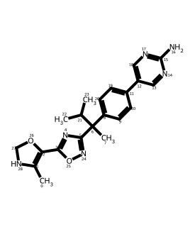 CC1=C(c2nc(C(C)(c3ccc(-c4cnc(N)nc4)cc3)C(C)C)no2)OCN1